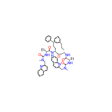 CC[C@H](NC(=O)N(C)Cc1ccc2ccccc2n1)C(=O)N[C@@H](CCCc1ccccc1)[C@@H]1O[C@@H]1[C@H](CCCc1ccccc1)NC(=O)[C@H](CC)NC(=O)N(C)Cc1ccc2ccccc2n1